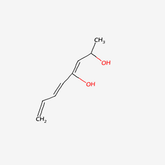 C=CC=CC(O)=CC(C)O